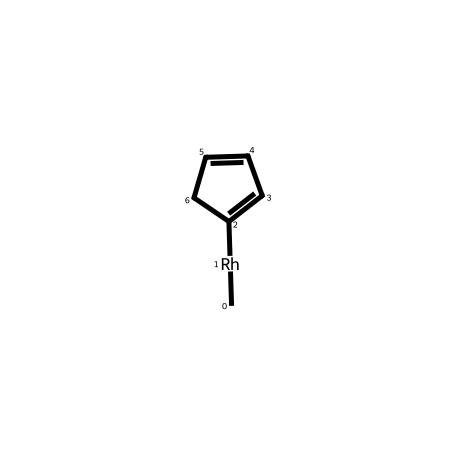 [CH3][Rh][C]1=CC=CC1